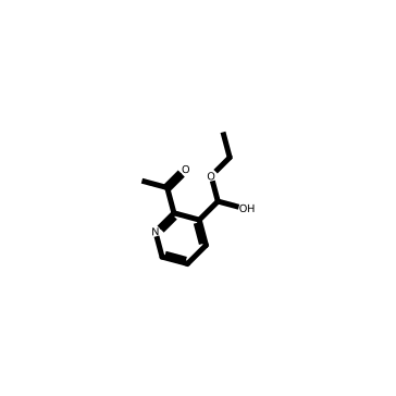 CCOC(O)c1cccnc1C(C)=O